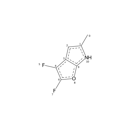 Cc1cc2c(F)c(F)oc2[nH]1